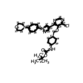 CC(C)(C)OC(=O)N[C@H]1CC[C@@H](COc2c(Cl)ncnc2-c2cnn(-c3ccc(N4CCOCC4)cc3)c2)CC1